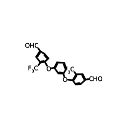 O=Cc1ccc(Oc2cccc(Oc3ccc(C=O)cc3C(F)(F)F)c2)c(C(F)(F)F)c1